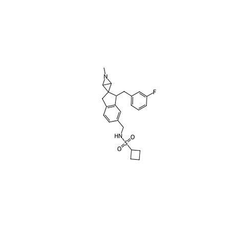 CN1C2C1C21Cc2ccc(CNS(=O)(=O)C3CCC3)cc2C1Cc1cccc(F)c1